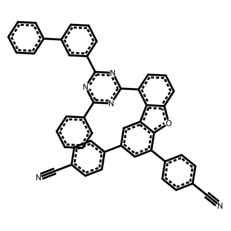 N#Cc1ccc(-c2cc(-c3ccc(C#N)cc3)c3oc4cccc(-c5nc(-c6ccccc6)nc(-c6cccc(-c7ccccc7)c6)n5)c4c3c2)cc1